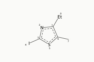 CCc1nc(I)sc1C